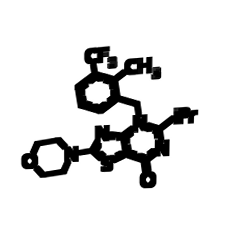 Cc1c(Cn2c(C(C)C)nc(=O)c3sc(N4CCOCC4)nc32)cccc1C(F)(F)F